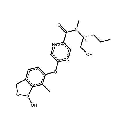 CCC[C@H](CO)N(C)C(=O)c1cnc(Oc2ccc3c(c2C)B(O)OC3)cn1